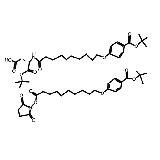 CC(C)(C)OC(=O)c1ccc(OCCCCCCCCCC(=O)N[C@@H](CC(=O)O)C(=O)OC(C)(C)C)cc1.CC(C)(C)OC(=O)c1ccc(OCCCCCCCCCC(=O)ON2C(=O)CCC2=O)cc1